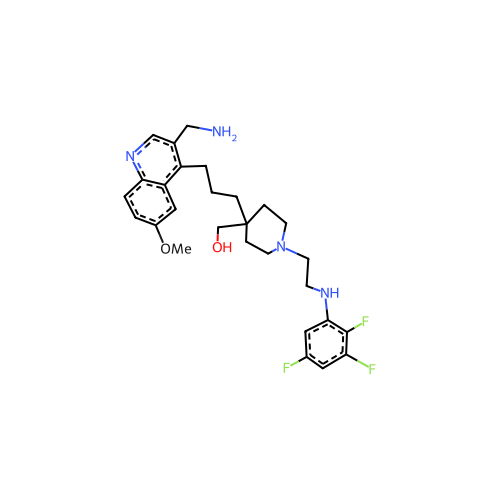 COc1ccc2ncc(CN)c(CCCC3(CO)CCN(CCNc4cc(F)cc(F)c4F)CC3)c2c1